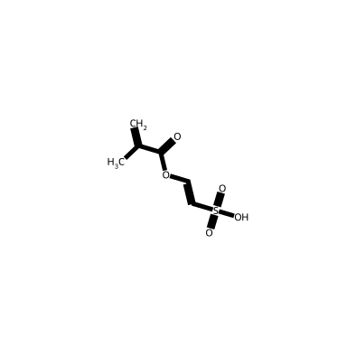 C=C(C)C(=O)OC=CS(=O)(=O)O